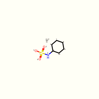 O=S(=O)([O-])NC1CCCCC1.[Li+]